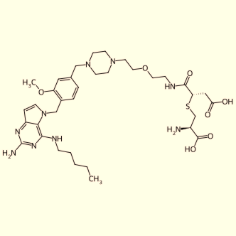 CCCCCNc1nc(N)nc2ccn(Cc3ccc(CN4CCN(CCOCCNC(=O)[C@H](CC(=O)O)SC[C@H](N)C(=O)O)CC4)cc3OC)c12